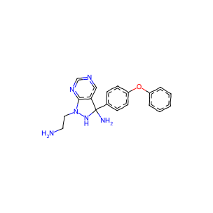 NCCN1NC(N)(c2ccc(Oc3ccccc3)cc2)c2cncnc21